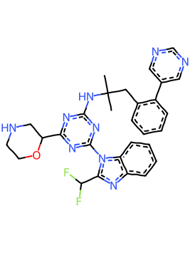 CC(C)(Cc1ccccc1-c1cncnc1)Nc1nc(C2CNCCO2)nc(-n2c(C(F)F)nc3ccccc32)n1